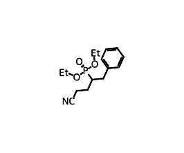 CCOP(=O)(OCC)C(CCC#N)Cc1ccccc1